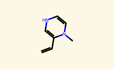 C=CC1=CNC=CN1C